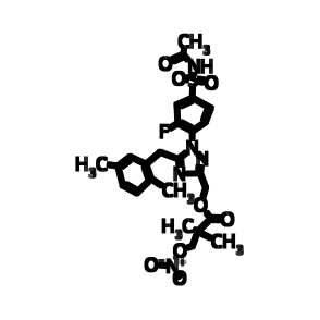 CC(=O)NS(=O)(=O)c1ccc(-n2nc(COC(=O)C(C)(C)CO[N+](=O)[O-])nc2Cc2cc(C)ccc2C)c(F)c1